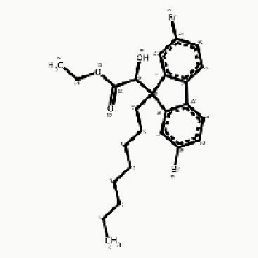 CCCCCCCCC1(C(O)C(=O)OCC)c2cc(Br)ccc2-c2ccc(Br)cc21